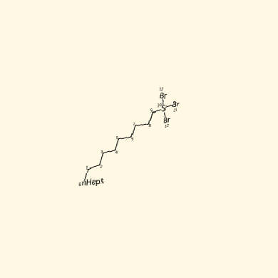 CCCCCCCCCCCCCCCC[Si](Br)(Br)Br